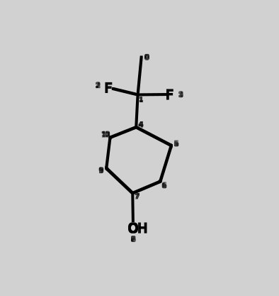 CC(F)(F)C1CCC(O)CC1